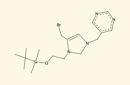 CC(C)(C)[Si](C)(C)OCCN1CN(Cc2cncnc2)C=C1CBr